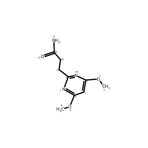 COc1cc(OC)nc(CCC(N)=O)n1